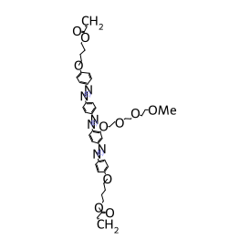 C=CC(=O)OCCCCOc1ccc(/N=N/c2ccc(/N=N/c3ccc(/N=N/c4ccc(OCCCCOC(=O)C=C)cc4)cc3OCCOCCOCCOC)cc2)cc1